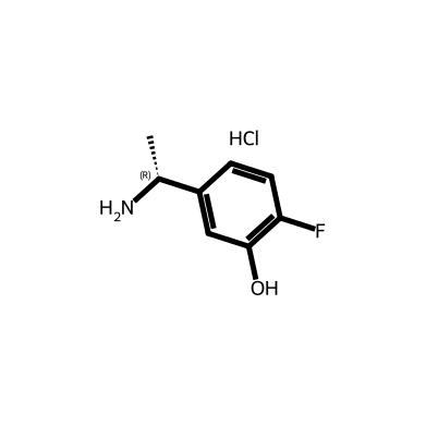 C[C@@H](N)c1ccc(F)c(O)c1.Cl